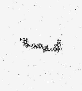 Cn1c(=O)n(C2CCC(=O)NC2=O)c2ccc(CCCN3C[C@H]4CN(c5ccc6cn([C@H]7CC[C@H](CNC(=O)c8cc(F)c(O)c(F)c8F)CC7)nc6c5)C[C@@H]4C3)cc21